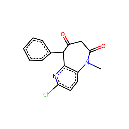 CN1C(=O)CC(=O)C(c2ccccc2)c2nc(Cl)ccc21